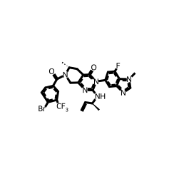 C=C[C@H](C)Nc1nc2c(c(=O)n1-c1cc(F)c3c(c1)ncn3C)C[C@@H](C)N(C(=O)c1ccc(Br)c(C(F)(F)F)c1)C2